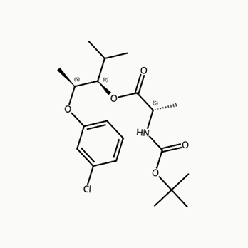 CC(C)[C@@H](OC(=O)[C@H](C)NC(=O)OC(C)(C)C)[C@H](C)Oc1cccc(Cl)c1